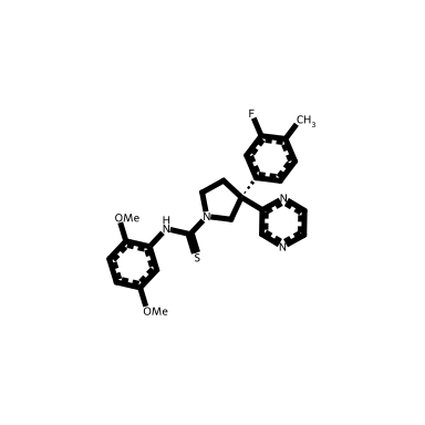 COc1ccc(OC)c(NC(=S)N2CC[C@@](c3ccc(C)c(F)c3)(c3cnccn3)C2)c1